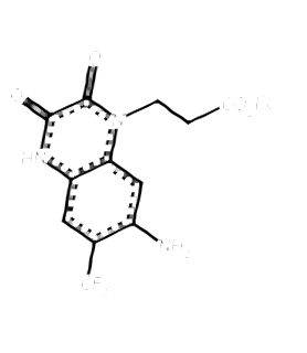 CCOC(=O)CCn1c(=O)c(=O)[nH]c2cc(C(F)(F)F)c(N)cc21